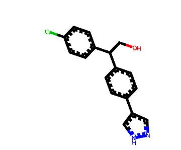 OCC(c1ccc(Cl)cc1)c1ccc(-c2cn[nH]c2)cc1